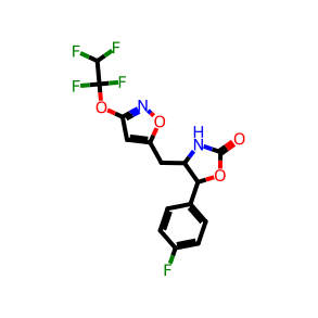 O=C1NC(Cc2cc(OC(F)(F)C(F)F)no2)C(c2ccc(F)cc2)O1